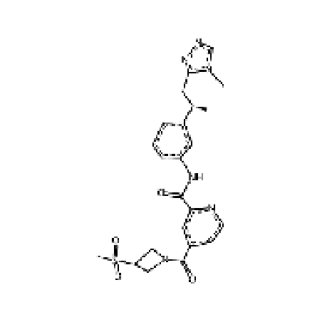 C[C@H](Cc1nncn1C)c1cccc(NC(=O)c2cc(C(=O)N3CC(S(C)(=O)=O)C3)ccn2)c1